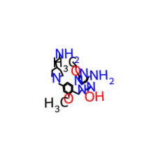 CCOc1nc(N)c2nc(O)n(Cc3ccc(CN4CCC(CCN)CC4)cc3OC)c2n1